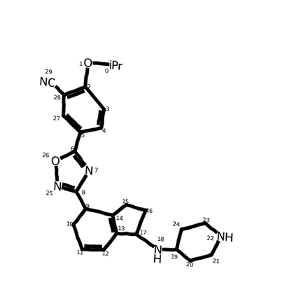 CC(C)Oc1ccc(-c2nc(C3CC=CC4=C3CCC4NC3CCNCC3)no2)cc1C#N